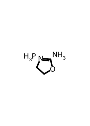 C1=NCCO1.N.P